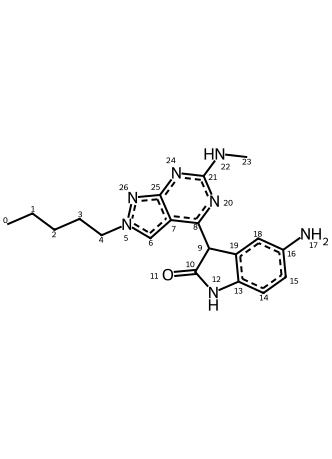 CCCCCn1cc2c(C3C(=O)Nc4ccc(N)cc43)nc(NC)nc2n1